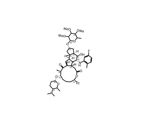 CC[C@H]1CCC[C@H](O[C@H]2CC[C@H](N(C)C)C(C)O2)[C@@H](C)C(=O)C2=C[C@H]3[C@@H]4C[C@H](O[C@@H]5OC(C)[C@H](OC)C(OC)C5OC)C[C@H]4[C@@H](O)[C@H](Nc4cc(F)ccc4C)[C@H]3[C@@H]2CC(=O)O1